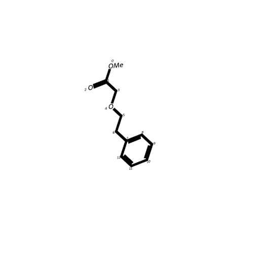 COC(=O)COCCc1ccccc1